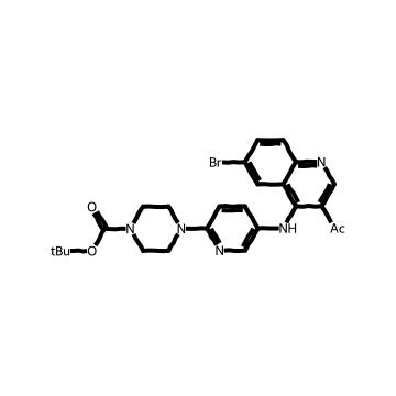 CC(=O)c1cnc2ccc(Br)cc2c1Nc1ccc(N2CCN(C(=O)OC(C)(C)C)CC2)nc1